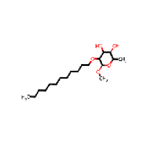 CCCCCCCCCCCCOC1C(O)[C@@H](O)C(C)O[C@H]1OC